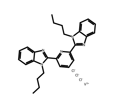 CCCCn1c(-c2cccc(-c3nc4ccccc4n3CCCC)n2)nc2ccccc21.[Cl-].[Cl-].[Cl-].[V+3]